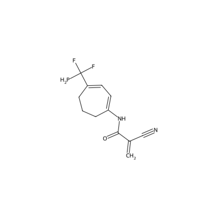 C=C(C#N)C(=O)NC1=CC=C(C(F)(F)P)CCC1